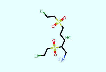 Cl.NCC(CCCS(=O)(=O)CCCl)S(=O)(=O)CCCl